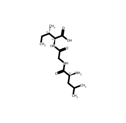 CC[C@H](C)[C@H](NC(=O)CNC(=O)[C@@H](N)CC(C)C)C(=O)O